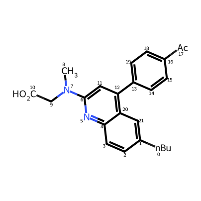 CCCCc1ccc2nc(N(C)CC(=O)O)cc(-c3ccc(C(C)=O)cc3)c2c1